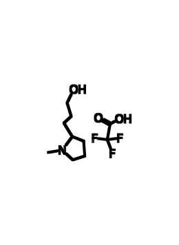 CN1CCCC1CCCO.O=C(O)C(F)(F)F